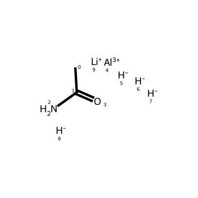 CC(N)=O.[Al+3].[H-].[H-].[H-].[H-].[Li+]